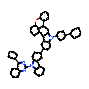 c1ccc(-c2ccc(-n3c4ccc(-c5ccc6c(c5)c5ccccc5n6-c5nc(-c6ccccc6)c6ccccc6n5)cc4c4c5cccc6c5c(cc43)-c3ccccc3O6)cc2)cc1